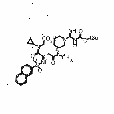 CN(C(=O)C[C@H](NS(=O)(=O)c1ccc2ccccc2c1)C(=O)N(CC(=O)O)C1CC1)[C@H]1CCCN(C(=N)NC(=O)OC(C)(C)C)C1